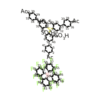 CC(=O)c1ccc(-c2ccc([S+](c3ccc(-c4ccc(C(C)=O)cc4)cc3S(=O)(=O)O)c3ccc(-c4ccc(C(C)=O)cc4)cc3S(=O)(=O)O)c(S(=O)(=O)O)c2)cc1.Fc1c(F)c(F)c([B-](c2c(F)c(F)c(F)c(F)c2F)(c2c(F)c(F)c(F)c(F)c2F)c2c(F)c(F)c(F)c(F)c2F)c(F)c1F